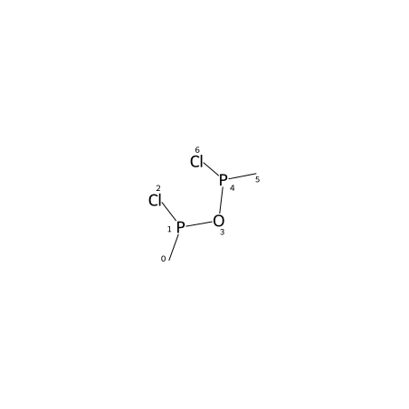 CP(Cl)OP(C)Cl